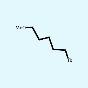 COCCCC[CH2][Tb]